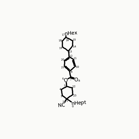 CCCCCCCC1(C#N)CCC(OC(=O)c2ccc(C3CCC(CCCCCC)CC3)cc2)CC1